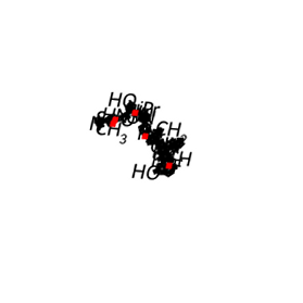 C#Cc1c(F)ccc2cc(O)cc(-c3ncc4c(N5CC6CCC(C5)N6)nc(OC[C@@]56CC[C@@H](CN7CCC(c8cn([C@H](C(=O)N9C[C@H](O)C[C@H]9C(=O)NCc9ccc(-c%10scnc%10C)cc9)C(C)C)nn8)CC7)N5CC(=C)C6)nc4c3F)c12